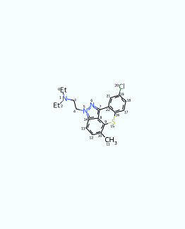 CCN(CC)CCn1nc2c3c(c(C)ccc31)Sc1ccc(Cl)cc1-2